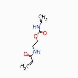 C=CNC(=O)OCCNC(=O)C=C